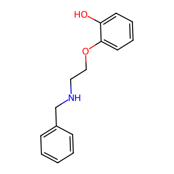 Oc1ccccc1OCCNCc1ccccc1